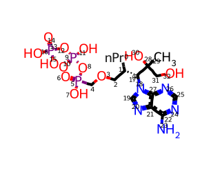 CCCC(COCP(=O)(O)OP(=O)(O)OP(=O)(O)O)[C@@H](n1cnc2c(N)ncnc21)C(C)(O)CO